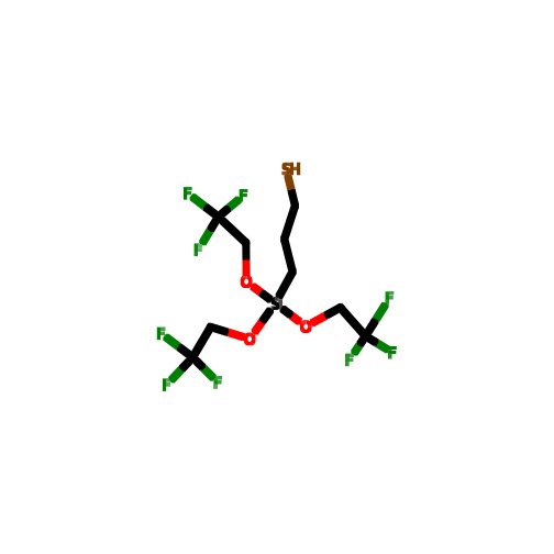 FC(F)(F)CO[Si](CCCS)(OCC(F)(F)F)OCC(F)(F)F